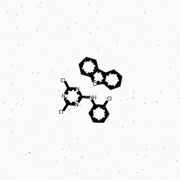 Clc1nc(Cl)nc(Nc2ccccc2Cl)n1.c1ccc2c(c1)oc1ccccc12